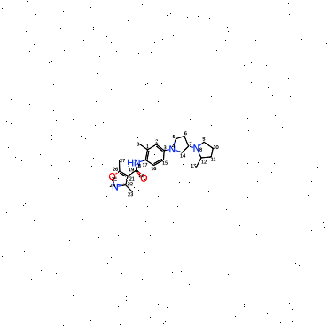 Cc1cc(N2CCC(N3CCCC3C)C2)ccc1NC(=O)c1c(C)noc1C